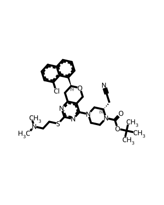 CN(C)CCSc1nc2c(c(N3CCN(C(=O)OC(C)(C)C)[C@@H](CC#N)C3)n1)CO[C@H](c1cccc3cccc(Cl)c13)C2